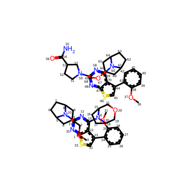 COCC1CC2CCC(C1)N2c1nc(N2C3CCC2COC3)c2c(-c3ccccc3OC)csc2n1.COc1ccccc1-c1csc2nc(N3CCC(C(N)=O)C3)nc(N3C4CCC3CC(OC)C4)c12